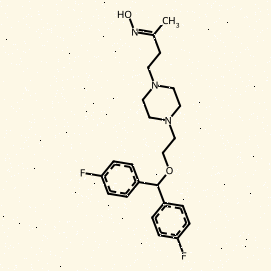 CC(CCN1CCN(CCOC(c2ccc(F)cc2)c2ccc(F)cc2)CC1)=NO